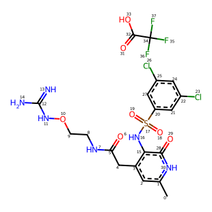 Cc1cc(CC(=O)NCCONC(=N)N)c(NS(=O)(=O)c2cc(Cl)cc(Cl)c2)c(=O)[nH]1.O=C(O)C(F)(F)F